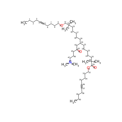 CCCCC#CCCCCOCC(C)(C)CCCCCC(CCCCCC(C)(C)C(=O)OCCCCC#CCCCC)CC(=O)CCCN(C)C